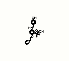 O=C(O)C(F)(F)F.Oc1ccc(CNc2ccc(OCCN3CCCC3)cc2)cc1